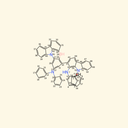 Cc1ccccc1Nc1c(-c2cc(N(c3ccccc3)c3ccccc3)cc3c2Bc2cccc4c5ccccc5n-3c24)ccc2c3ccccc3n(-c3ccccc3)c12